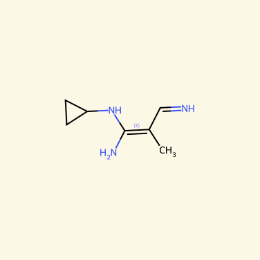 C/C(C=N)=C(\N)NC1CC1